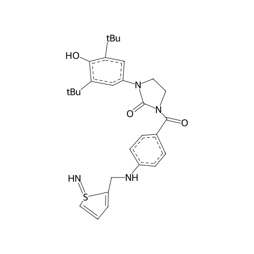 CC(C)(C)c1cc(N2CCN(C(=O)c3ccc(NCC4=CC=CS4=N)cc3)C2=O)cc(C(C)(C)C)c1O